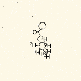 [2H]c1c([2H])c(C([2H])([2H])[2H])c([2H])c([2H])c1CCC(=O)c1ccccc1